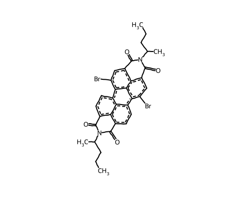 CCCC(C)N1C(=O)c2ccc3c4c(Br)cc5c6c(cc(Br)c(c7ccc(c2c37)C1=O)c64)C(=O)N(C(C)CCC)C5=O